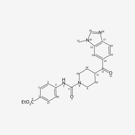 CCOC(=O)c1ccc(NC(=O)N2CCC(C(=O)c3ccc4ncn(C)c4c3)CC2)cc1